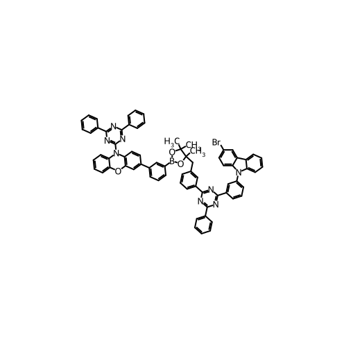 CC1(C)OB(c2cccc(-c3ccc4c(c3)Oc3ccccc3N4c3nc(-c4ccccc4)nc(-c4ccccc4)n3)c2)OC1(C)Cc1cccc(-c2nc(-c3ccccc3)nc(-c3cccc(-n4c5ccccc5c5cc(Br)ccc54)c3)n2)c1